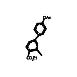 CCOC(=O)c1ccc(-c2ccc(OC(C)=O)cc2)cc1C